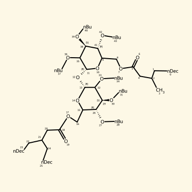 CCCCCCCCCCCC(C)CC(=O)OCC1O[C@H](O[C@H]2OC(COC(=O)CC(CCCCCCCCCCC)CCCCCCCCCCC)[C@@H](OCCCC)[C@H](OCCCC)C2OCCCC)C(OCCCC)[C@@H](OCCCC)[C@@H]1OCCCC